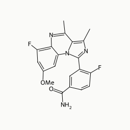 COc1cc(F)c2nc(C)c3c(C)nc(-c4cc(C(N)=O)ccc4F)n3c2c1